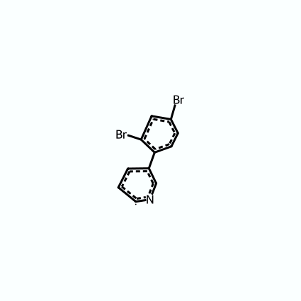 Brc1ccc(-c2cc[c]nc2)c(Br)c1